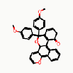 COc1ccc(C2(c3ccc(OC)cc3)OC3C4=CC=COC4=c4ccccc4=C3C3=C2C=CCC3=O)cc1